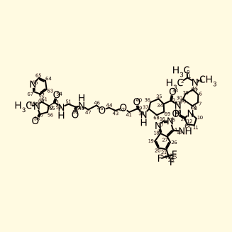 CC(C)N(C)[C@@H]1CC[C@H](N2CC[C@H](Nc3ncnc4ccc(C(F)(F)F)cc34)C2=O)[C@H](NC(=O)C2CCC(NC(=O)COCCOCCNC(=O)CNC(=O)[C@H]3CC(=O)N(C)[C@@H]3c3cccnc3)CC2)C1